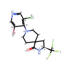 O=C1N[C@H](C(F)(F)F)CC12CCN(c1c(Cl)cncc1Br)CC2